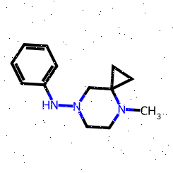 CN1CCN(Nc2ccccc2)CC12CC2